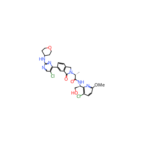 COc1ccc(Cl)c([C@@H](CO)NC(=O)[C@@H](C)N2Cc3ccc(-c4nc(NC5CCOCC5)ncc4Cl)cc3C2=O)n1